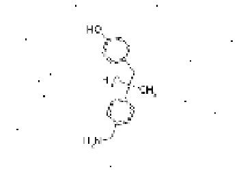 CC(C)(Cc1ccc(O)cc1)c1ccc(CN)cc1